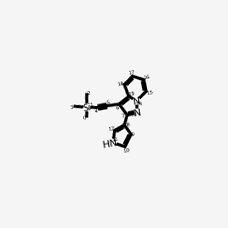 C[Si](C)(C)C#Cc1c(-c2cc[nH]c2)nn2ccccc12